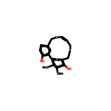 COc1c2cc(c(O)c1OC)CCC/C=C\CCc1ccc(O)c-2c1